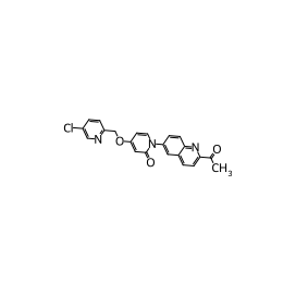 CC(=O)c1ccc2cc(-n3ccc(OCc4ccc(Cl)cn4)cc3=O)ccc2n1